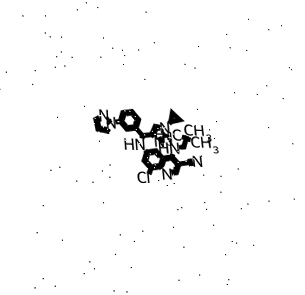 CC(C)(C)CNc1c(C#N)cnc2c(Cl)cc(NC(c3cccc(-n4cccn4)c3)c3cn(C4CC4)nn3)cc12